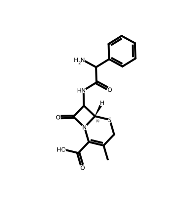 CC1=C(C(=O)O)N2C(=O)C(NC(=O)C(N)c3ccccc3)[C@@H]2SC1